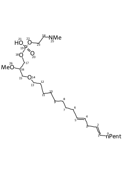 CCCCCC=CCC=CCCCCCCCCOCC(COP(=O)(O)OCCNC)OC